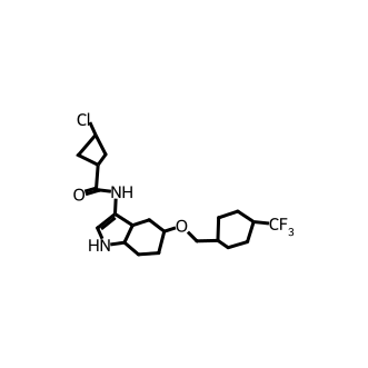 O=C(NC1=CNC2CCC(OCC3CCC(C(F)(F)F)CC3)CC12)C1CC(Cl)C1